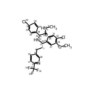 CNC(=O)[C@@H](N[C@@H](CCc1ccc(C(F)(F)F)nc1)c1ccc(Cl)c(OC)c1)c1ccc(Cl)cc1